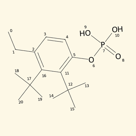 CCc1ccc(OP(=O)(O)O)c(C(C)(C)C)c1C(C)(C)C